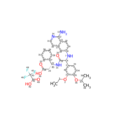 CCOc1cc(C(Nc2ccc3c(N)nccc3c2)C(=O)N[C@H](CC(=O)O)c2ccccc2)ccc1OC(C)C.O=C(O)C(F)(F)F